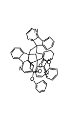 O=C(CCC1(CC2(CC3(CCC(=O)Oc4ccccc4)c4ccccc4-c4ncccc43)c3ccccc3-c3ncccc32)C2=CCCC=C2c2ncccc21)Oc1ccccc1